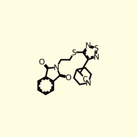 O=C1c2ccccc2C(=O)N1CCSc1nsnc1C1CN2CCC1CC2